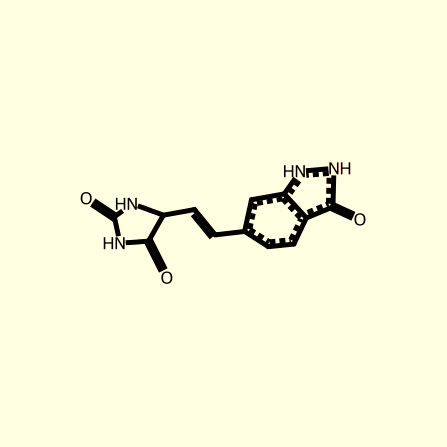 O=C1NC(=O)C(C=Cc2ccc3c(=O)[nH][nH]c3c2)N1